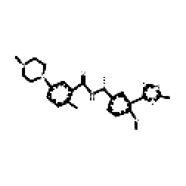 COc1ccc([C@@H](C)NC(=O)c2cc(N3CCN(C)CC3)ccc2C)cc1-c1nnc(C)s1